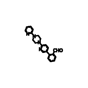 O=Cc1ccccc1-c1ccc(N2CCN(c3ccccn3)CC2)nc1